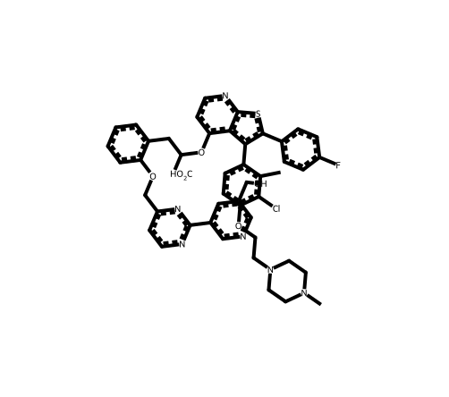 Cc1c(-c2c(-c3ccc(F)cc3)sc3nccc(OC(Cc4ccccc4OCc4ccnc(-c5cncc(CO)c5)n4)C(=O)O)c23)ccc(OCCN2CCN(C)CC2)c1Cl